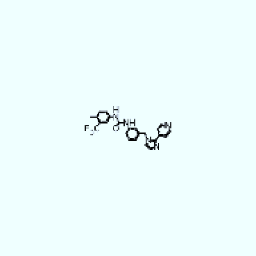 Cc1ccc(NC(=O)Nc2cccc(Cn3ccnc3-c3ccncc3)c2)cc1C(F)(F)F